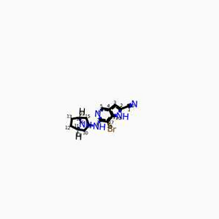 N#Cc1cc2cnc(NC3C[C@H]4CC[C@@H](C3)N4)c(Br)c2[nH]1